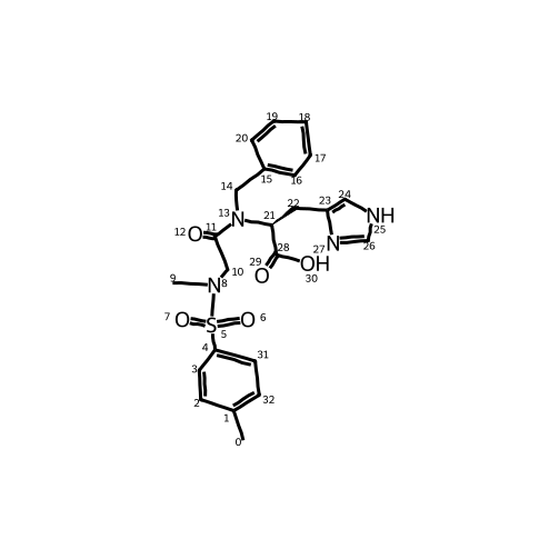 Cc1ccc(S(=O)(=O)N(C)CC(=O)N(Cc2ccccc2)[C@@H](Cc2c[nH]cn2)C(=O)O)cc1